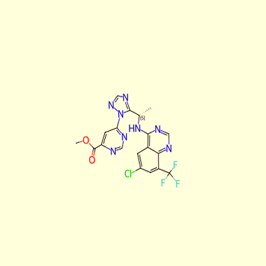 COC(=O)c1cc(-n2ncnc2[C@H](C)Nc2ncnc3c(C(F)(F)F)cc(Cl)cc23)ncn1